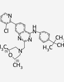 C[C@H]1CN(Cc2nc(Nc3ccc(C(C)(C)C)cc3)c3ccc(-c4ncccc4Cl)cc3n2)C[C@H](C)O1